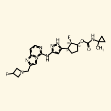 CC1(NC(=O)O[C@H]2CC[C@@H](c3cc(Nc4nccc5nc(CN6CC(F)C6)cn45)n[nH]3)[C@H]2F)CC1